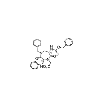 O=C(O)CN1C(=O)[C@@H](NC(=O)OCc2ccccc2)CN(Cc2ccccc2)C(=O)[C@@H]1Cc1ccccc1